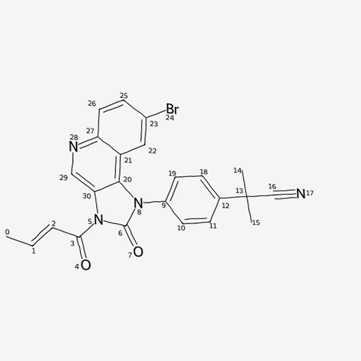 CC=CC(=O)n1c(=O)n(-c2ccc(C(C)(C)C#N)cc2)c2c3cc(Br)ccc3ncc21